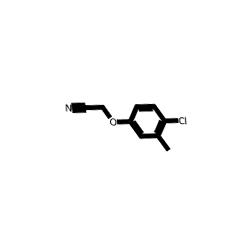 Cc1cc(OCC#N)ccc1Cl